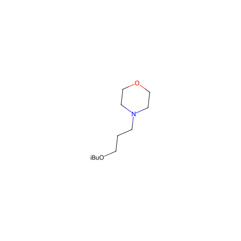 CC(C)COCCCN1CCOCC1